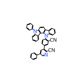 N#Cc1cc(-c2cc(-c3ccccc3)cnc2C#N)ccc1-n1c2ccccc2c2ccc3c(c4ccccc4n3-c3ccccc3)c21